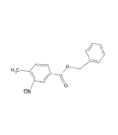 Cc1ccc(C(=O)OCc2ccccc2)cc1N=O